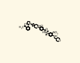 C=C(C)c1ccccc1[C@@H]1CCCN1C1CC2(CCN(c3ccc(C(=O)NS(=O)(=O)c4ccc(NCC5CCOCC5)c([N+](=O)[O-])c4)cc3)CC2)C1.Cl